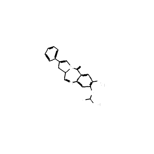 COc1cc2c(cc1OC(C)C)N=CC1CC(c3ccccc3)=CN1C2=O